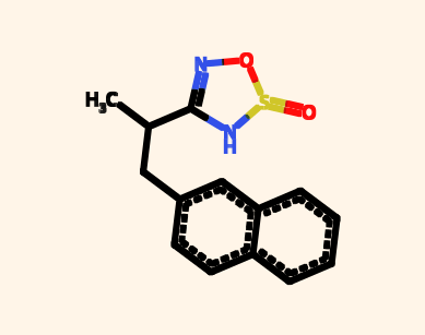 CC(Cc1ccc2ccccc2c1)C1=NOS(=O)N1